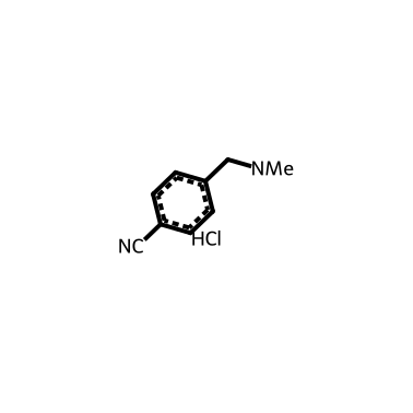 CNCc1ccc(C#N)cc1.Cl